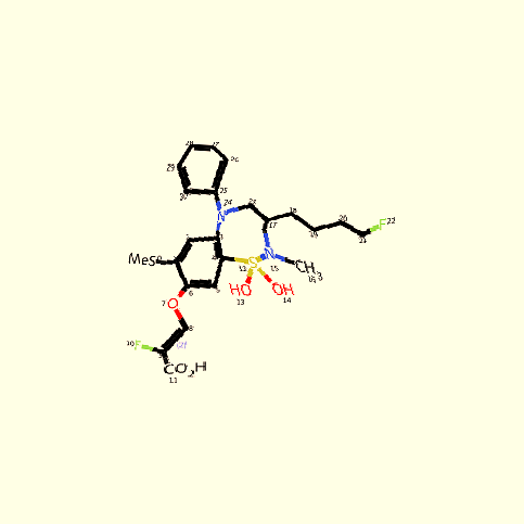 CSc1cc2c(cc1O/C=C(\F)C(=O)O)S(O)(O)N(C)C(CCCCF)CN2c1ccccc1